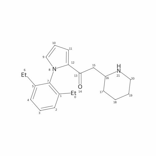 CCc1cccc(CC)c1-n1cccc1C(=O)CC1CCCCN1